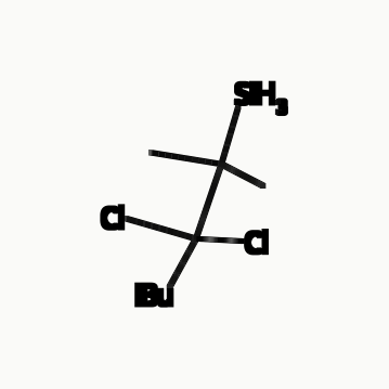 CCC(C)C(Cl)(Cl)C(C)(C)[SiH3]